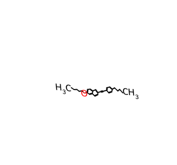 CCCCCCOc1ccc2cc(C#Cc3ccc(CCCCC)cc3)ccc2c1